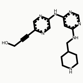 OCC#Cc1cnc(Nc2cc(NCC3CCNCC3)ncn2)cn1